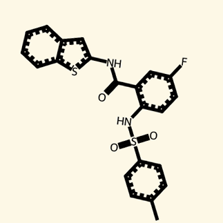 Cc1ccc(S(=O)(=O)Nc2ccc(F)cc2C(=O)Nc2cc3ccccc3s2)cc1